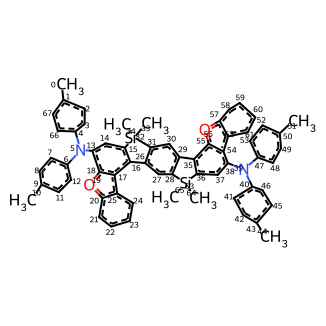 Cc1ccc(N(c2ccc(C)cc2)c2cc3c(c4c2oc2ccccc24)-c2cc4c(cc2[Si]3(C)C)-c2c(cc(N(c3ccc(C)cc3)c3ccc(C)cc3)c3c2oc2ccccc23)[Si]4(C)C)cc1